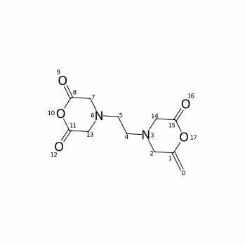 C=C1CN(CCN2CC(=O)OC(=O)C2)CC(=O)O1